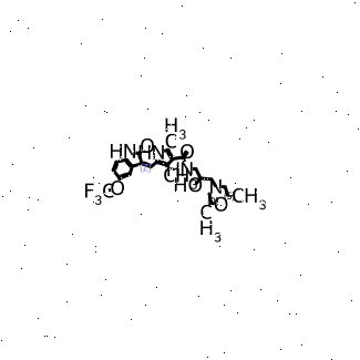 Cc1[nH]c(/C=C2\C(=O)Nc3ccc(OC(F)(F)F)cc32)c(C)c1C(=O)NCC(O)CN1C[C@@H](C)O[C@@H](C)C1